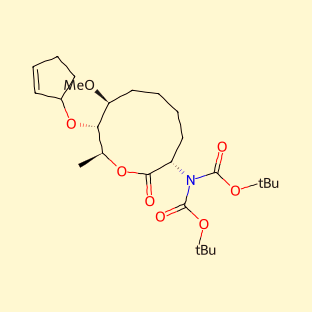 CO[C@H]1CCCC[C@H](N(C(=O)OC(C)(C)C)C(=O)OC(C)(C)C)C(=O)O[C@@H](C)[C@@H]1OC1C=CCC1